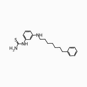 NC(=S)Nc1cccc(NCCCCCCCc2ccccc2)c1